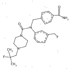 CC(C)(F)CN1CCN(C(=O)N(Cc2ccc(C(N)=O)cc2)c2cccc(CF)c2)CC1